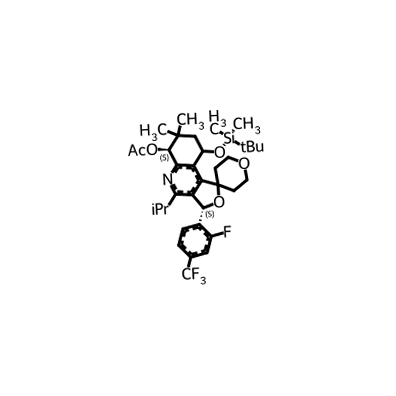 CC(=O)O[C@@H]1c2nc(C(C)C)c3c(c2C(O[Si](C)(C)C(C)(C)C)CC1(C)C)C1(CCOCC1)O[C@@H]3c1ccc(C(F)(F)F)cc1F